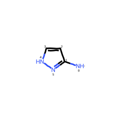 [NH]c1cc[nH]n1